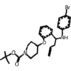 C=CCC(Nc1ccc(Br)cc1)c1ccccc1OC1CCN(C(=O)OC(C)(C)C)CC1